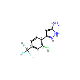 Nc1cc(-c2ccc(C(F)(F)F)cc2Cl)n[nH]1